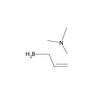 BCC=C.CN(C)C